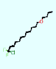 CCCCOCCCCCCCCC/C=C/C(F)(F)Cl